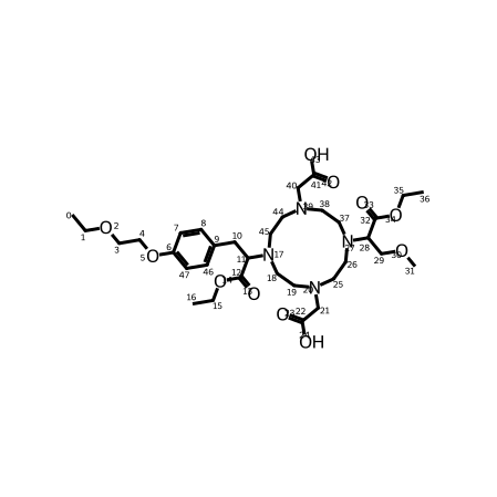 CCOCCOc1ccc(CC(C(=O)OCC)N2CCN(CC(=O)O)CCN(C(COC)C(=O)OCC)CCN(CC(=O)O)CC2)cc1